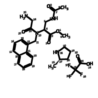 COC(=O)C(CNC(C)=O)N(Cc1cccc2ccccc12)C(=O)CN.C[C@H]1CCCN1.O=C(O)C(F)(F)F